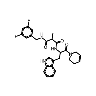 CC(C(=O)NCc1cc(F)cc(F)c1)C(=O)NC(Cc1c[nH]c2ccccc12)C(=O)N1CC=CCC1